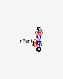 C#CC(CCCCC)Oc1c(N2CCN(S(=O)(=O)c3cccs3)CC2)cnn(-c2ccccc2)c1=O